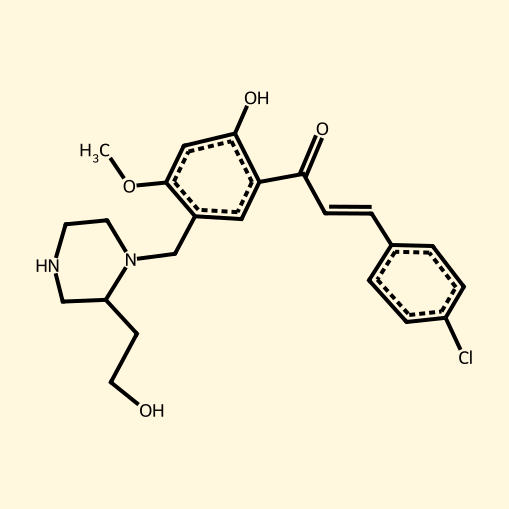 COc1cc(O)c(C(=O)/C=C/c2ccc(Cl)cc2)cc1CN1CCNCC1CCO